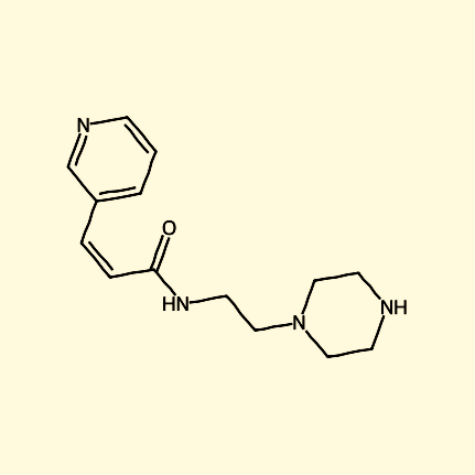 O=C(/C=C\c1cccnc1)NCCN1CCNCC1